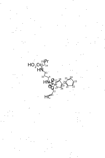 C#CCOC1(S(=O)(=O)NCCCNC(CC(C)C)C(=O)O)C=CC(c2ccccc2)=CC1